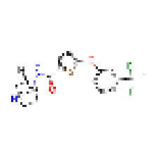 O=C(N[C@H]1CN2CCC1CC2)c1ccc(Oc2cccc(C(F)(F)F)c2)s1